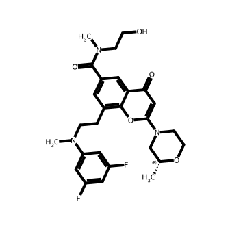 C[C@@H]1CN(c2cc(=O)c3cc(C(=O)N(C)CCO)cc(CCN(C)c4cc(F)cc(F)c4)c3o2)CCO1